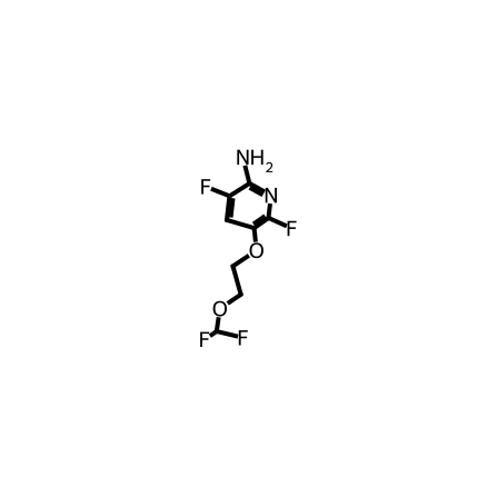 Nc1nc(F)c(OCCOC(F)F)cc1F